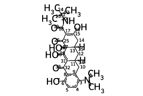 CN(C)c1ccc(O)c2c1C[C@H]1C[C@H]3CC(O)=C(C(=O)NC(C)(C)C)C(=O)[C@@]3(O)C(O)=C1C2=O